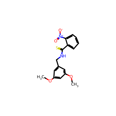 COc1cc(CNC(=S)c2ccccc2[N+](=O)[O-])cc(OC)c1